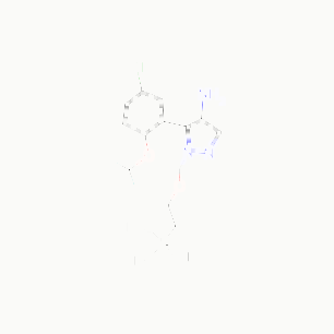 C[Si](C)(C)CCOCn1ncc(N)c1-c1cc(Cl)ccc1OC(F)F